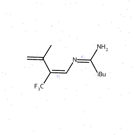 C=C(C)/C(=C\N=C(\N)C(C)CC)C(F)(F)F